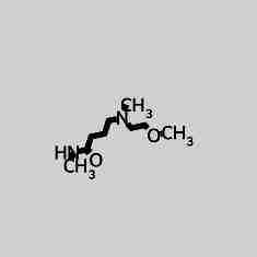 CNC(=O)CCCN(C)CCOC